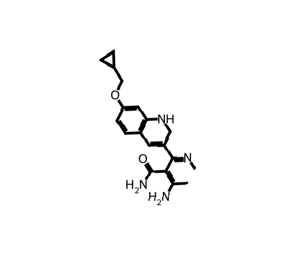 C/N=C(C1=Cc2ccc(OCC3CC3)cc2NC1)\C(C(N)=O)=C(/C)N